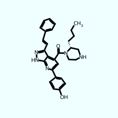 CCCC[C@@H]1CNCCN1C(=O)c1cc(-c2ccc(O)cc2)nc2[nH]nc(C=Cc3ccccc3)c12